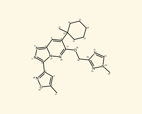 Cc1cc(-c2nnc3cc(C4(C)CCCCC4)c(OCc4ncn(C)n4)nn23)no1